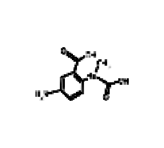 C[SH](C(=O)O)c1ccc(N)cc1C(=O)O